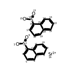 O=S([O-])c1cccc2ccccc12.O=S([O-])c1cccc2ccccc12.[Sr+2]